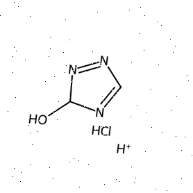 Cl.OC1N=CN=N1.[H+]